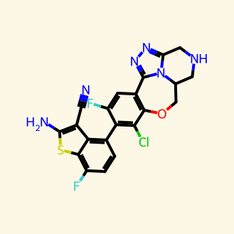 N#Cc1c(N)sc2c(F)ccc(-c3c(F)cc4c(c3Cl)OCC3CNCc5nnc-4n53)c12